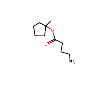 BCCCC(=O)OC1(C)CCCC1